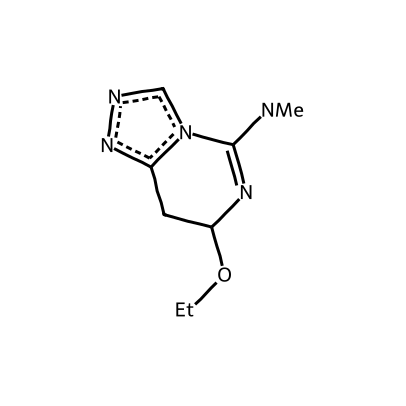 CCOC1Cc2nncn2C(NC)=N1